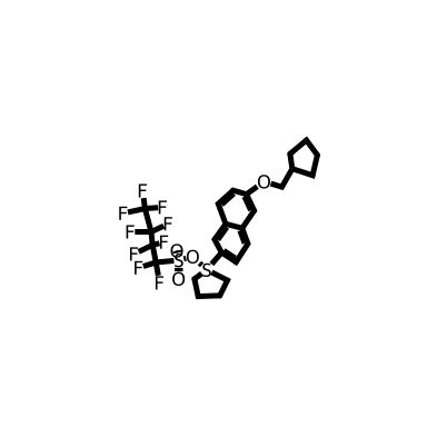 O=S(=O)(OS1(c2ccc3cc(OCC4CCCC4)ccc3c2)CCCC1)C(F)(F)C(F)(F)C(F)(F)C(F)(F)F